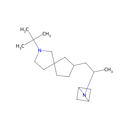 CC(CC1CCC2(CCN(C(C)(C)C)C2)C1)N1CC2CC1C2